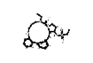 CCN1CCCOc2ccccc2-c2cccc(c2)CC2C(NS(=O)(=O)CC)CCN2C1=O